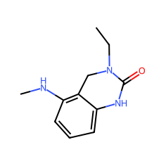 CCN1Cc2c(NC)cccc2NC1=O